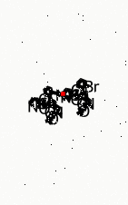 CN(Cc1cc(-c2ccccc2Br)c(S(=O)(=O)c2cccnc2)s1)C(=O)OC(C)(C)C.CN(Cc1cc(-c2ccccc2C#N)c(S(=O)(=O)c2cccnc2)s1)C(=O)OC(C)(C)C